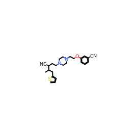 CC(Cc1cccs1)C(C#N)CCN1CCN(CCOc2cccc(C#N)c2)CC1